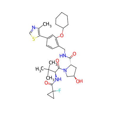 Cc1ncsc1-c1ccc(CNC(=O)[C@@H]2C[C@@H](O)CN2C(=O)[C@@H](NC(=O)C2(F)CC2)C(C)(C)C)c(OC2CCCCC2)c1